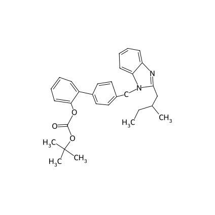 CCC(C)Cc1nc2ccccc2n1Cc1ccc(-c2ccccc2OC(=O)OC(C)(C)C)cc1